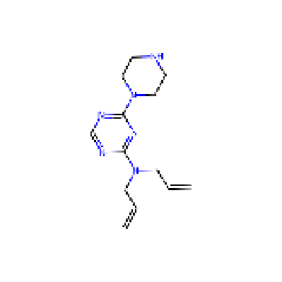 C=CCN(CC=C)c1ncnc(N2CCNCC2)n1